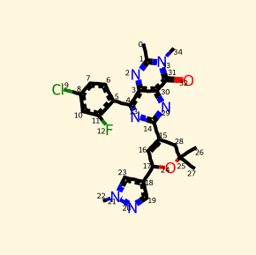 Cc1nc2c(-c3ccc(Cl)cc3F)nc(C3=CC(c4cnn(C)c4)OC(C)(C)C3)nc2c(=O)n1C